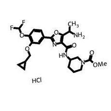 COC(=O)N1CCCC(NC(=O)c2nc(-c3ccc(OC(F)F)c(OCC4CC4)c3)oc2C(C)N)C1.Cl